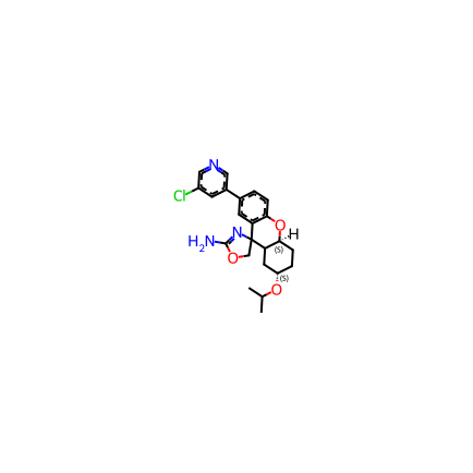 CC(C)O[C@H]1CC[C@@H]2Oc3ccc(-c4cncc(Cl)c4)cc3C3(COC(N)=N3)C2C1